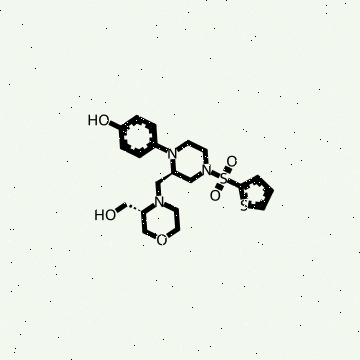 O=S(=O)(c1cccs1)N1CCN(c2ccc(O)cc2)[C@H](CN2CCOC[C@@H]2CO)C1